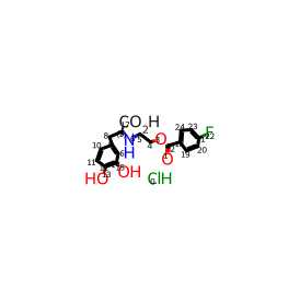 Cl.O=C(OCCN[C@@H](Cc1ccc(O)c(O)c1)C(=O)O)c1ccc(F)cc1